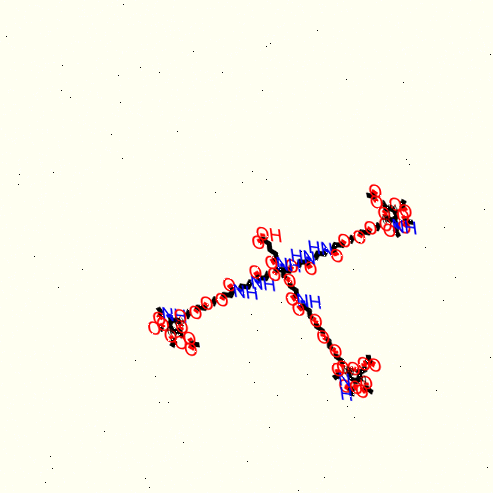 CC(=O)NC1C(OC=O)[C@@H](OC(C)=O)C(COC(C)=O)O[C@H]1OCCOCCOCCOCCC(=O)NCCCNC(=O)CCOCC(COCCC(=O)NCCCNC(=O)CCOCCOCCOCCO[C@@H]1OC(COC(C)=O)[C@H](OC(C)=O)C(OC(C)=O)C1NC(C)=O)(COCCC(=O)NC(=O)CCOCCOCCOCCO[C@@H]1OC(COC(C)=O)[C@H](OC(C)=O)C(OC(C)=O)C1NC(C)=O)NC(=O)CCCC(=O)O